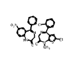 CCc1cc2c(s1)N(C)C(=O)CN=C2c1ccccc1Cl.O=C1CN=C(c2ccccc2)c2cc([N+](=O)[O-])ccc2N1